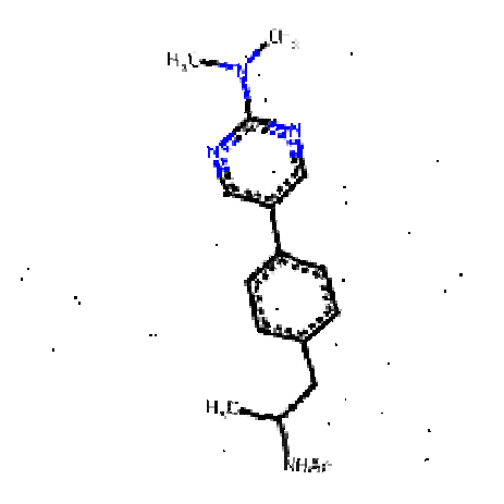 CC(=O)NC(C)Cc1ccc(-c2cnc(N(C)C)nc2)cc1